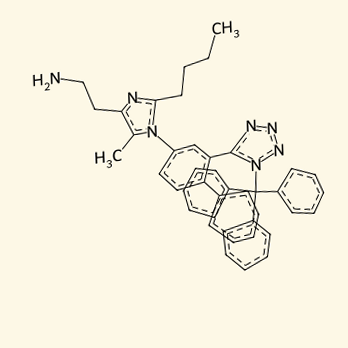 CCCCc1nc(CCN)c(C)n1-c1ccc(-c2ccccc2)c(-c2nnnn2C(c2ccccc2)(c2ccccc2)c2ccccc2)c1